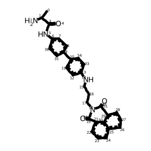 CC(N)C(=O)Nc1ccc(-c2ccc(NCCCN3C(=O)c4cccc5cccc(c45)C3=O)cc2)cc1